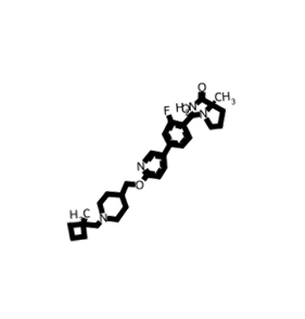 CC1(CN2CCC(COc3ccc(-c4ccc(C(=O)N5CCC[C@@]5(C)C(N)=O)c(F)c4)cn3)CC2)CCC1